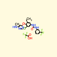 CCc1cc(NC(=O)Nc2cccc(C(F)(F)F)c2)cc(Cl)c1Oc1cc(NC)ncn1.O=C(O)C(F)(F)F